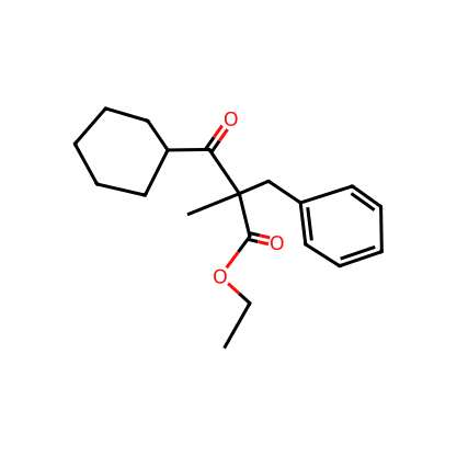 CCOC(=O)C(C)(Cc1ccccc1)C(=O)C1CCCCC1